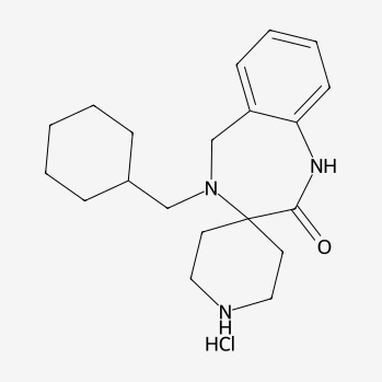 Cl.O=C1Nc2ccccc2CN(CC2CCCCC2)C12CCNCC2